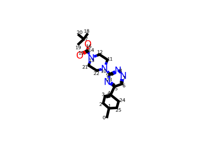 CC1CC=C(c2cnnc(N3CCN(C(=O)OC(C)(C)C)CC3)n2)CC1